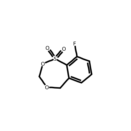 O=S1(=O)OCOCc2cccc(F)c21